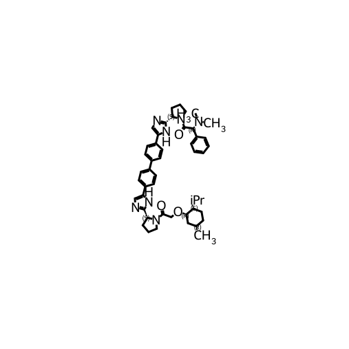 CC(C)[C@@H]1CC[C@@H](C)C[C@H]1OCC(=O)N1CCC[C@H]1c1ncc(-c2ccc(-c3ccc(-c4cnc([C@@H]5CCCN5C(=O)[C@@H](c5ccccc5)N(C)C)[nH]4)cc3)cc2)[nH]1